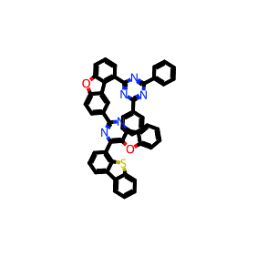 c1ccc(-c2nc(-c3ccccc3)nc(-c3cccc4oc5ccc(-c6nc(-c7cccc8c7sc7ccccc78)c7oc8ccccc8c7n6)cc5c34)n2)cc1